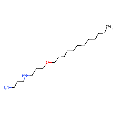 CCCCCCCCCCCCOCCCNCCCN